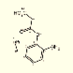 CCCC.Nc1ccccc1OC(=O)CC(=O)O